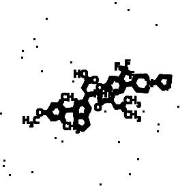 COc1cc(C)c(-c2cc([C@@H](CC(=O)O)NC(=O)[C@H](CC(C)C)n3cc(C4CCN(C5CCCC5)CC4)c(C(F)(F)F)cc3=O)cc3c2CCC3)c(C)c1